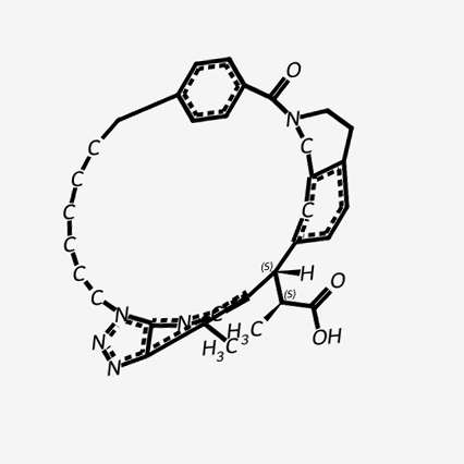 Cc1c2cnc3c1nnn3CCCCCCCc1ccc(cc1)C(=O)N1CCc3ccc(cc3C1)[C@@H]2[C@H](C)C(=O)O